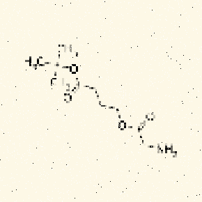 CC(C)(C)OC(=O)CCCOC(=O)CN